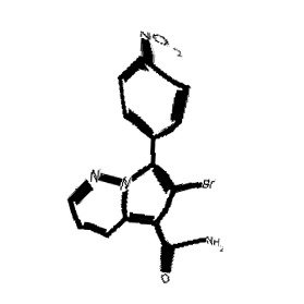 NC(=O)c1c(Br)c(-c2ccc([N+](=O)[O-])cc2)n2ncccc12